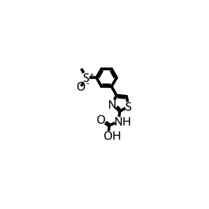 C[S+]([O-])c1cccc(-c2csc(NC(=O)O)n2)c1